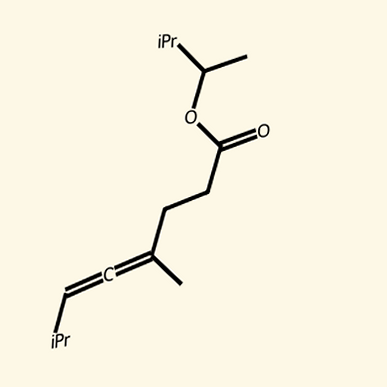 CC(=C=CC(C)C)CCC(=O)OC(C)C(C)C